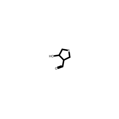 O=CC1CSCC1O